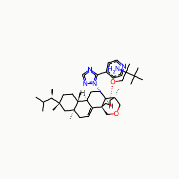 CC(C)[C@@H](C)[C@]1(C)CC[C@]2(C)[C@H]3CC[C@@H]4[C@@]5(COC[C@@]4(C)[C@@H](OCC(C)(N)C(C)(C)C)[C@H](n4ncnc4-c4ccncc4)C5)C3=CC[C@@]2(C)C1